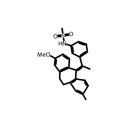 COc1ccc2c(c1)CCc1cc(C)ccc1C2=C(C)c1cccc(NS(C)(=O)=O)c1